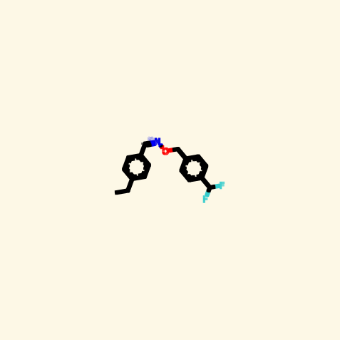 CCc1ccc(/[C]=N\OCc2ccc(C(F)F)cc2)cc1